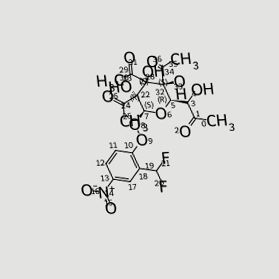 CC(=O)C(O)[C@H]1O[C@@H](OOc2ccc([N+](=O)[O-])cc2C(F)F)[C@@](O)(C(C)=O)[C@](O)(C(C)=O)[C@]1(O)C(C)=O